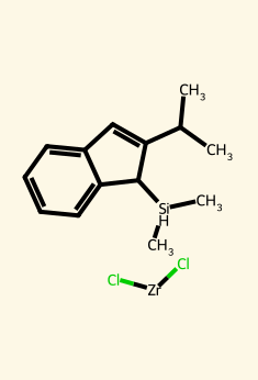 CC(C)C1=Cc2ccccc2C1[SiH](C)C.[Cl][Zr][Cl]